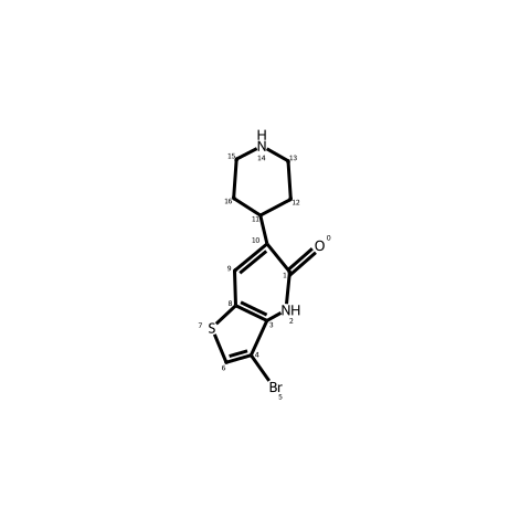 O=c1[nH]c2c(Br)csc2cc1C1CCNCC1